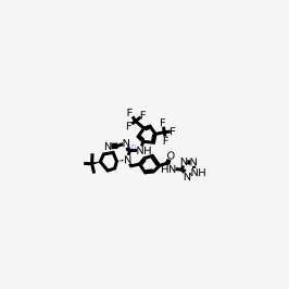 CC(C)(C)[C@H]1CC[C@H](N(Cc2ccc(C(=O)Nc3nn[nH]n3)cc2)/C(=N\C#N)Nc2cc(C(F)(F)F)cc(C(F)(F)F)c2)CC1